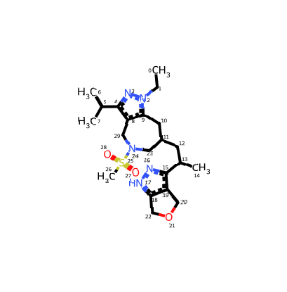 CCn1nc(C(C)C)c2c1CC(CC(C)c1n[nH]c3c1COC3)CN(S(C)(=O)=O)C2